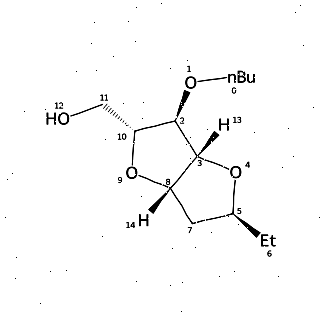 CCCCO[C@H]1[C@@H]2O[C@@H](CC)C[C@@H]2O[C@@H]1CO